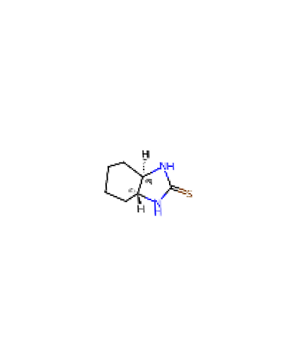 S=C1N[C@@H]2CCCC[C@H]2N1